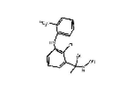 CC(=O)C(C)(NO)c1cccc(Nc2ccccc2C(=O)O)c1Cl